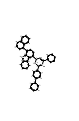 c1ccc(C2=NC(c3ccc(-c4cccc5ccccc45)c4oc5ccccc5c34)NC(c3ccc(-c4ccccc4)cc3)=N2)cc1